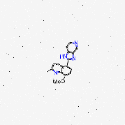 COc1ccc(-c2nc3cnccc3[nH]2)c2ccc(C)nc12